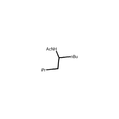 CCCCC(CC(C)C)NC(C)=O